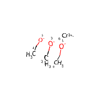 C[O-].C[O-].C[O-].[Cr+3]